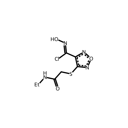 CCNC(=O)CSc1nonc1C(Cl)=NO